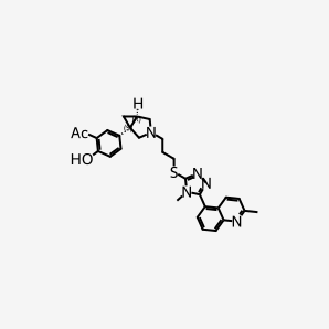 CC(=O)c1cc([C@]23C[C@H]2CN(CCCSc2nnc(-c4cccc5nc(C)ccc45)n2C)C3)ccc1O